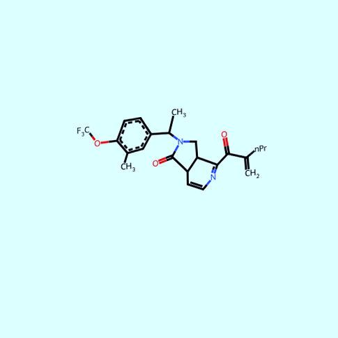 C=C(CCC)C(=O)C1=NC=CC2C(=O)N(C(C)c3ccc(OC(F)(F)F)c(C)c3)CC12